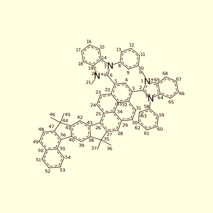 C[n+]1c(-c2cc(-c3n(-c4ccccc4)c4ccccc4[n+]3C)c3ccc4c5c(cc6ccc2c3c64)C(C)(C)c2cc3c(cc2-5)C(C)(C)c2ccc4ccccc4c2-3)n(-c2ccccc2)c2ccccc21